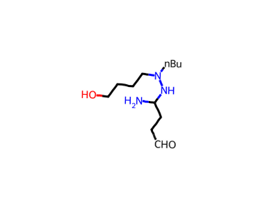 CCCCN(CCCCO)NC(N)CCC=O